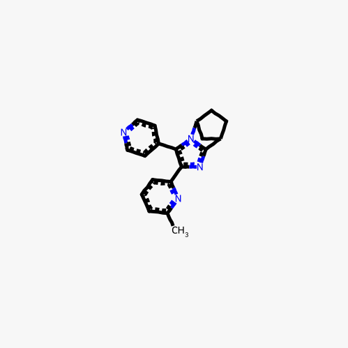 Cc1cccc(-c2nc3n(c2-c2ccncc2)C2CCC3C2)n1